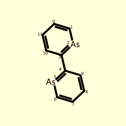 C1=C[As]=C(C2=[As]C=CC=C2)C=C1